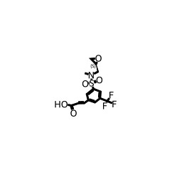 CN(C[C@H]1CO1)S(=O)(=O)c1cc(C=CC(=O)O)cc(C(F)(F)F)c1